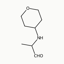 CC(C=O)NC1CCOCC1